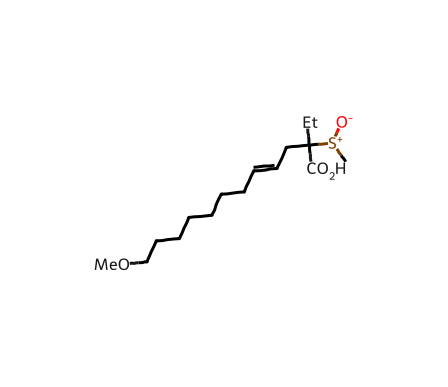 CCC(CC=CCCCCCCCOC)(C(=O)O)[S+](C)[O-]